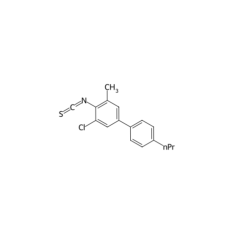 CCCc1ccc(-c2cc(C)c(N=C=S)c(Cl)c2)cc1